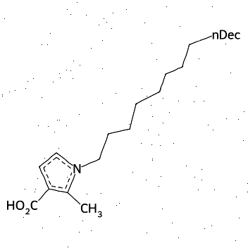 CCCCCCCCCCCCCCCCCCn1ccc(C(=O)O)c1C